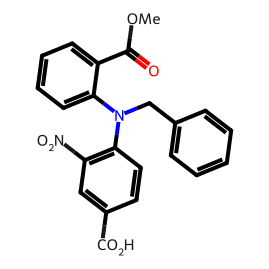 COC(=O)c1ccccc1N(Cc1ccccc1)c1ccc(C(=O)O)cc1[N+](=O)[O-]